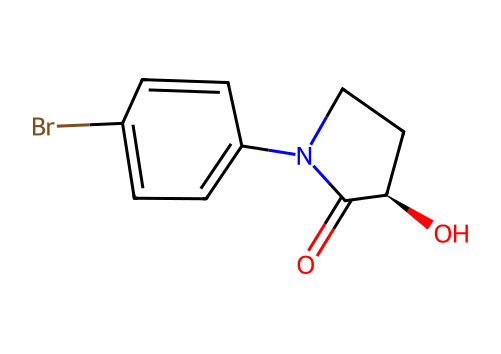 O=C1[C@H](O)CCN1c1ccc(Br)cc1